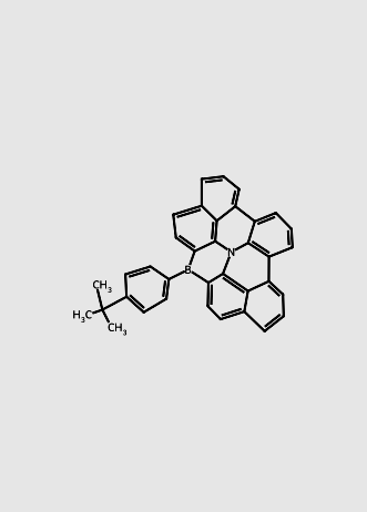 CC(C)(C)c1ccc(B2c3ccc4cccc5c4c3N3c4c-5cccc4-c4cccc5ccc2c3c45)cc1